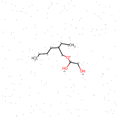 CCCCC(CC)COC(O)CO